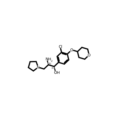 N[C@H](CN1CCCC1)[C@H](O)c1ccc(OC2CCOCC2)c(Cl)c1